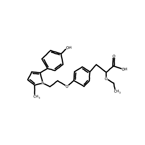 CCOC(Cc1ccc(OCCn2c(C)ccc2-c2ccc(O)cc2)cc1)C(=O)O